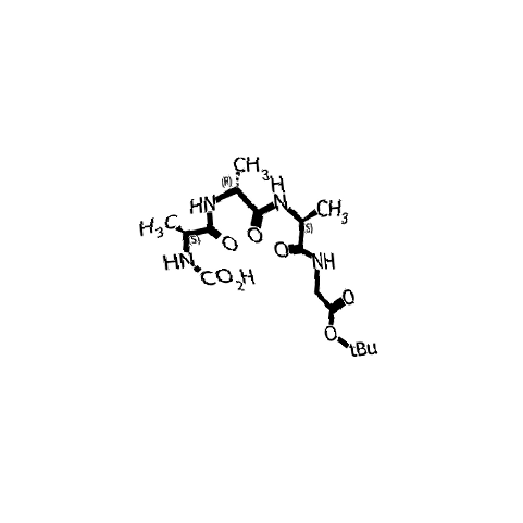 C[C@H](NC(=O)O)C(=O)N[C@H](C)C(=O)N[C@@H](C)C(=O)NCC(=O)OC(C)(C)C